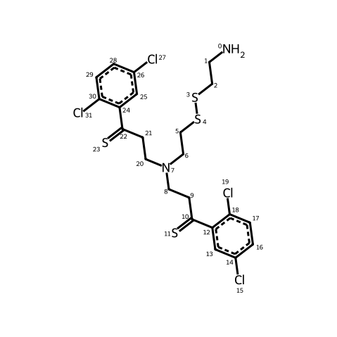 NCCSSCCN(CCC(=S)c1cc(Cl)ccc1Cl)CCC(=S)c1cc(Cl)ccc1Cl